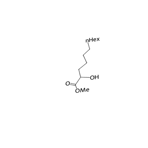 CCCCCCCCCCC(O)C(=O)OC